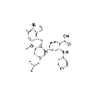 COc1cc(C)c2[nH]ccc2c1CN1CCN(CC(F)F)C[C@H]1c1ccc(C(=O)O)c(NC2CCOCC2)c1